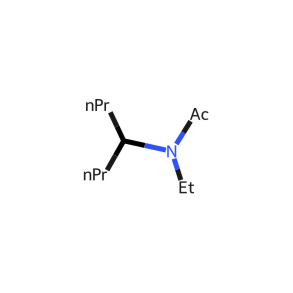 CCCC(CCC)N(CC)C(C)=O